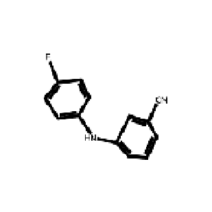 N#Cc1cccc(Nc2ccc(F)cc2)c1